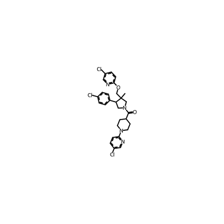 CC1(COc2ccc(Cl)cn2)CN(C(=O)C2CCN(c3ccc(Cl)cn3)CC2)CC1c1ccc(Cl)cc1